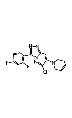 Fc1ccc(-c2nnc3cc(N4CC=CCC4)c(Cl)nn23)c(F)c1